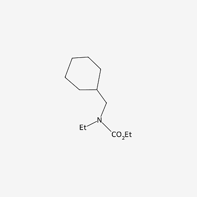 CCOC(=O)N(CC)CC1CCCCC1